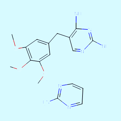 COc1cc(Cc2cnc(N)nc2N)cc(OC)c1OC.Nc1ncccn1